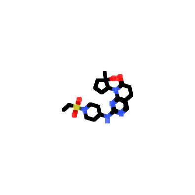 CCS(=O)(=O)N1CCC(Nc2ncc3c(n2)N(C2CCCC2(C)O)C(=O)CC3)CC1